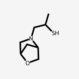 CC(S)CN1CC2CC1CO2